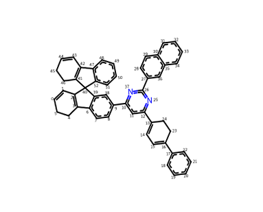 C1=CC2=C(CC1)c1ccc(-c3cc(C4=CC=C(c5ccccc5)CC4)nc(-c4ccc5ccccc5c4)n3)cc1C21C2=C(C=CCC2)c2ccccc21